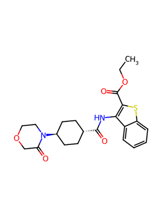 CCOC(=O)c1sc2ccccc2c1NC(=O)[C@H]1CC[C@H](N2CCOCC2=O)CC1